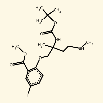 CBCCC(C)(COc1ccc(F)cc1C(=O)OC)NC(=O)OC(C)(C)C